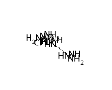 N=C(N)NCCCCCCCNC(=N)NC(=O)c1nc(Cl)c(N)nc1N